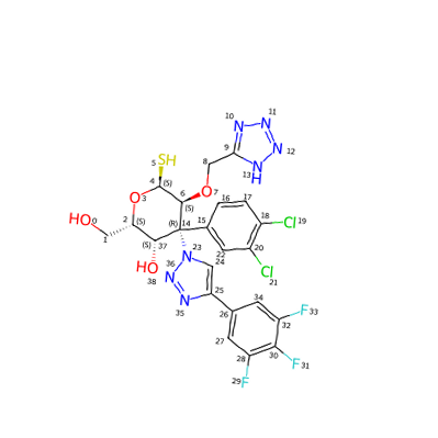 OC[C@@H]1O[C@@H](S)[C@@H](OCc2nnn[nH]2)[C@](c2ccc(Cl)c(Cl)c2)(n2cc(-c3cc(F)c(F)c(F)c3)nn2)[C@@H]1O